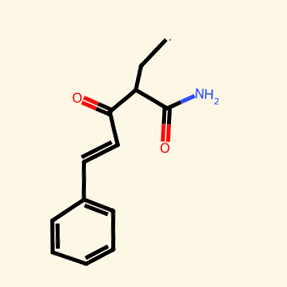 [CH2]CC(C(N)=O)C(=O)/C=C/c1ccccc1